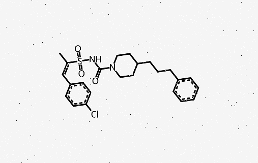 CC(=Cc1ccc(Cl)cc1)S(=O)(=O)NC(=O)N1CCC(CCCc2ccccc2)CC1